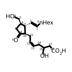 CCCCCC/C=C/[C@H]1[C@H](CO)CC(=O)[C@@H]1C/C=C\CC(O)CC(=O)O